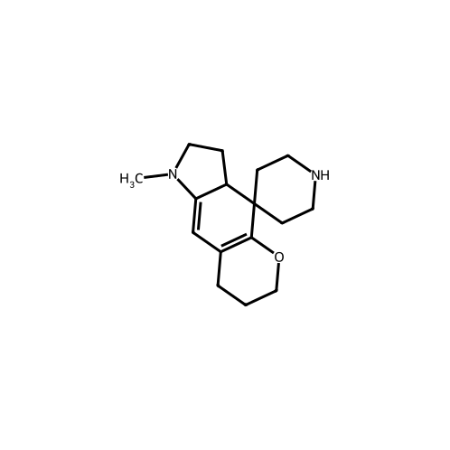 CN1CCC2C1=CC1=C(OCCC1)C21CCNCC1